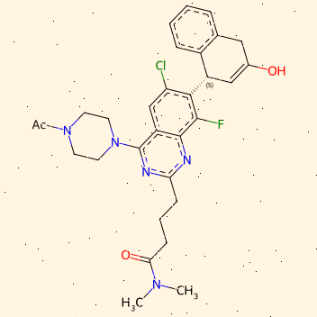 CC(=O)N1CCN(c2nc(CCCC(=O)N(C)C)nc3c(F)c([C@H]4C=C(O)Cc5ccccc54)c(Cl)cc23)CC1